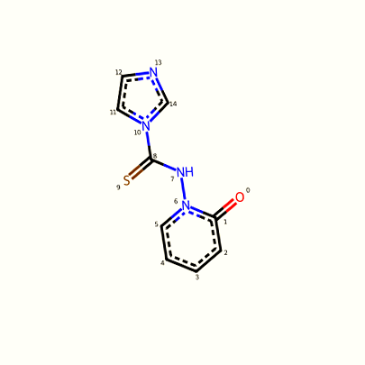 O=c1ccccn1NC(=S)n1ccnc1